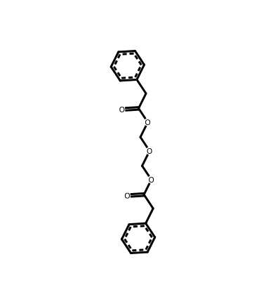 O=C(Cc1ccccc1)OCOCOC(=O)Cc1ccccc1